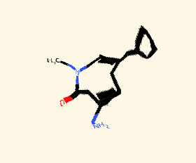 Cn1cc(C2CC2)cc(N)c1=O